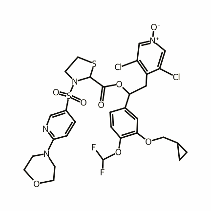 O=C(OC(Cc1c(Cl)c[n+]([O-])cc1Cl)c1ccc(OC(F)F)c(OCC2CC2)c1)C1SCCN1S(=O)(=O)c1ccc(N2CCOCC2)nc1